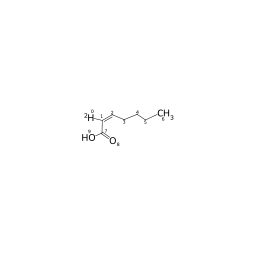 [2H]C(=CCCCC)C(=O)O